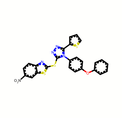 O=[N+]([O-])c1ccc2nc(Sc3nnc(-c4cccs4)n3-c3ccc(Oc4ccccc4)cc3)sc2c1